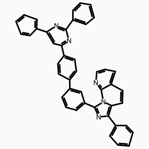 c1ccc(-c2cc(-c3ccc(-c4cccc(-c5nc(-c6ccccc6)c6ccc7cccnc7n56)c4)cc3)nc(-c3ccccc3)n2)cc1